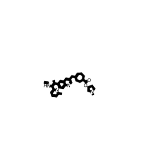 C=CN/C(=C(\C)c1ccc2ncc(CC3=CCCC(C(=O)O[C@@H]4CCN(C)C4)CC3)cc2c1)c1cccc(C)n1